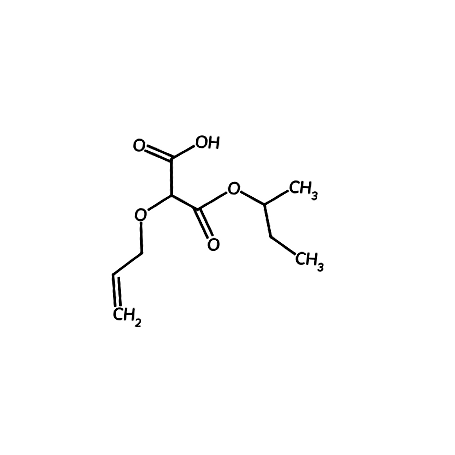 C=CCOC(C(=O)O)C(=O)OC(C)CC